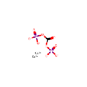 O=C(OP(=O)([O-])[O-])OP(=O)([O-])[O-].[Ca+2].[Ca+2]